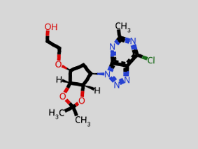 Cc1nc(Cl)c2nnn([C@@H]3C[C@H](OCCO)[C@H]4OC(C)(C)O[C@H]43)c2n1